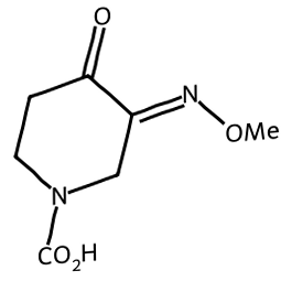 CON=C1CN(C(=O)O)CCC1=O